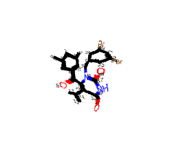 Cc1cc(C)cc(C(=O)c2c(C(C)C)c(=O)[nH]c(=O)n2Cc2cc(Br)cc(Br)c2)c1